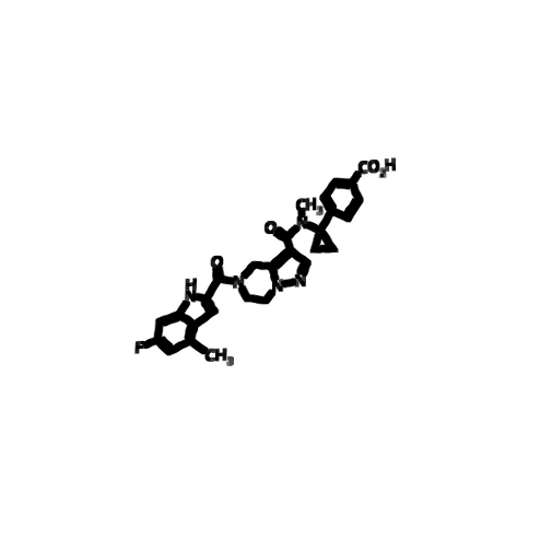 Cc1cc(F)cc2[nH]c(C(=O)N3CCn4ncc(C(=O)N(C)C5(c6ccc(C(=O)O)cc6)CC5)c4C3)cc12